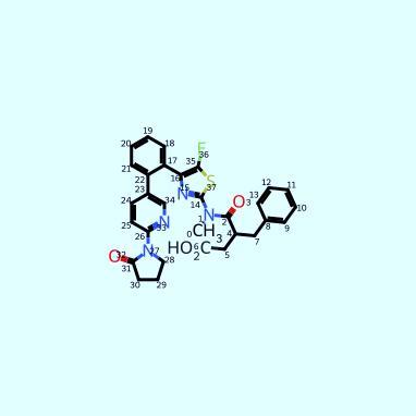 CN(C(=O)C(CC(=O)O)Cc1ccccc1)c1nc(-c2ccccc2-c2ccc(N3CCCC3=O)nc2)c(F)s1